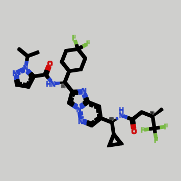 CC(C)n1nccc1C(=O)N[C@H](c1cn2ncc([C@H](NC(=O)C[C@@H](C)C(F)(F)F)C3CC3)cc2n1)C1CCC(F)(F)CC1